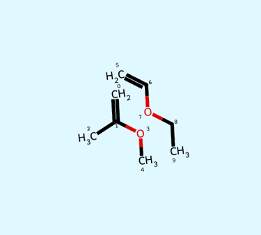 C=C(C)OC.C=COCC